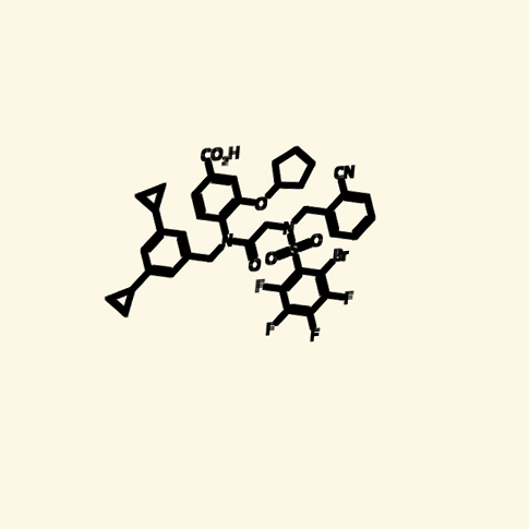 N#Cc1ccccc1CN(CC(=O)N(Cc1cc(C2CC2)cc(C2CC2)c1)c1ccc(C(=O)O)cc1OC1CCCC1)S(=O)(=O)c1c(F)c(F)c(F)c(F)c1Br